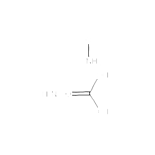 CC(=O)O.N.[NH3+][O-]